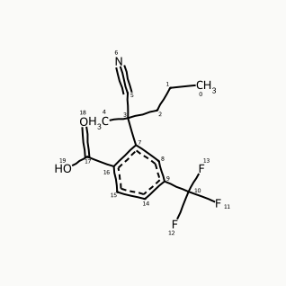 CCCC(C)(C#N)c1cc(C(F)(F)F)ccc1C(=O)O